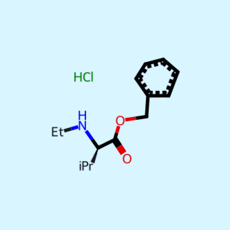 CCN[C@@H](C(=O)OCc1ccccc1)C(C)C.Cl